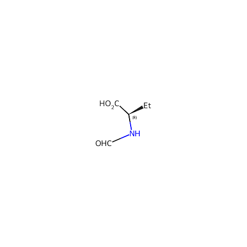 CC[C@@H](NC=O)C(=O)O